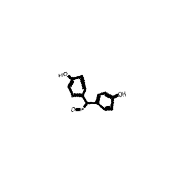 O=PC(c1ccc(O)cc1)c1ccc(O)cc1